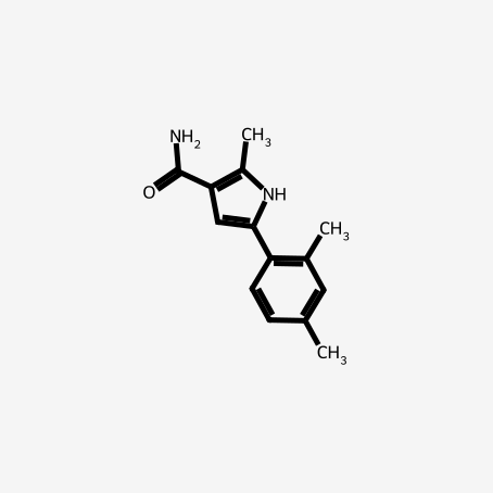 Cc1ccc(-c2cc(C(N)=O)c(C)[nH]2)c(C)c1